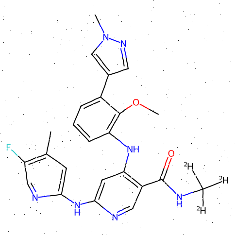 [2H]C([2H])([2H])NC(=O)c1cnc(Nc2cc(C)c(F)cn2)cc1Nc1cccc(-c2cnn(C)c2)c1OC